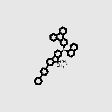 CC1(C)c2cc(-c3ccc(-c4ccccc4)cc3)ccc2-c2ccc(N(c3ccc4c5ccccc5c5ccccc5c4c3)c3cccc4ccccc34)cc21